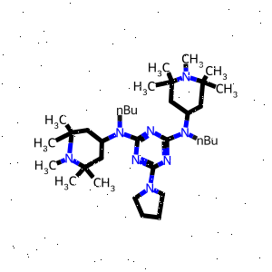 CCCCN(c1nc(N2CCCC2)nc(N(CCCC)C2CC(C)(C)N(C)C(C)(C)C2)n1)C1CC(C)(C)N(C)C(C)(C)C1